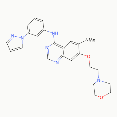 CNc1cc2c(Nc3cccc(-n4cccn4)c3)ncnc2cc1OCCN1CCOCC1